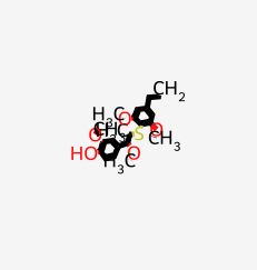 C=CCc1cc(OC)c(SC(C)C(OC)c2ccc(O)c(OC)c2)c(OC)c1